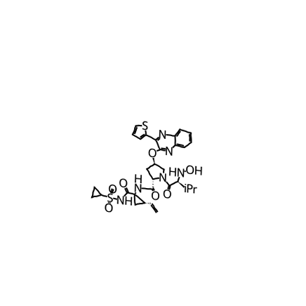 C=C[C@@H]1C[C@]1(NC(=O)[C@@H]1C[C@@H](Oc2nc3ccccc3nc2-c2cccs2)CN1C(=O)[C@@H](NO)C(C)C)C(=O)NS(=O)(=O)C1CC1